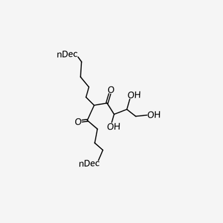 CCCCCCCCCCCCCCC(C(=O)CCCCCCCCCCCCC)C(=O)C(O)C(O)CO